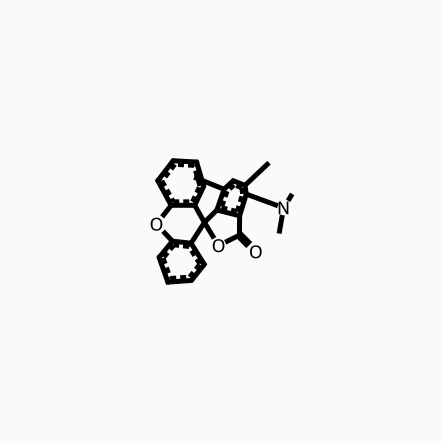 Cc1cc(C)c2c(c1N(C)C)C(=O)OC21c2ccccc2Oc2ccccc21